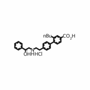 CCCCc1cc(C(=O)O)ccc1-c1ccc(CCNC[C@@H](O)c2ccccc2)cc1.Cl